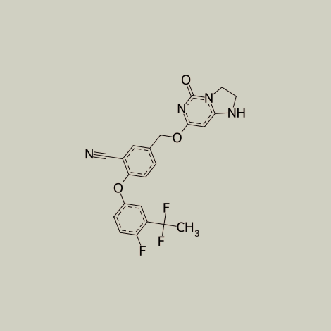 CC(F)(F)c1cc(Oc2ccc(COc3cc4n(c(=O)n3)CCN4)cc2C#N)ccc1F